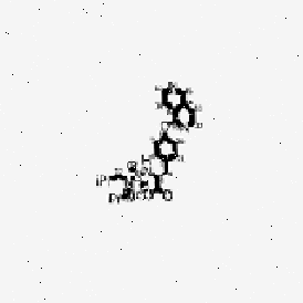 COC(=O)[C@H](Cc1ccc(Oc2nccc3cnccc23)cc1)NS(=O)(=O)N(CC(C)C)CC(C)C